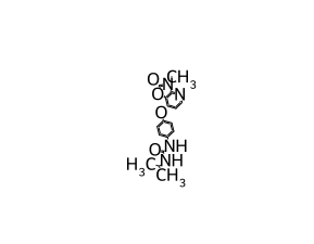 CC(C)NC(=O)Nc1ccc(Oc2ccnc3c2oc(=O)n3C)cc1